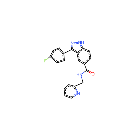 O=C(NCc1ccccn1)c1ccc2[nH]nc(-c3ccc(F)cc3)c2c1